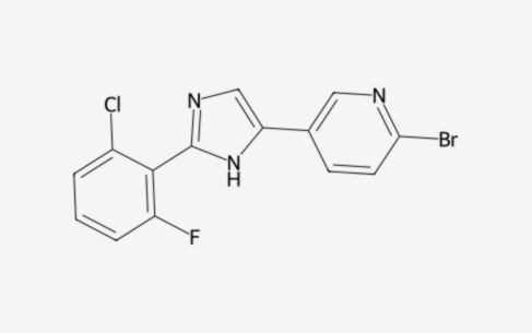 Fc1cccc(Cl)c1-c1ncc(-c2ccc(Br)nc2)[nH]1